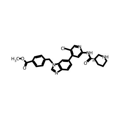 COC(=O)c1ccc(Cn2cnc3ccc(-c4cc(NC(=O)[C@@H]5CCCNC5)ncc4Cl)cc32)cc1